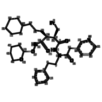 CC(C)C[C@@H](C(=O)NN(CCc1ccccc1)C(=O)Cc1cccnc1)[C@H](CCCC1CCCCC1)C(=O)NOC1CCCCO1